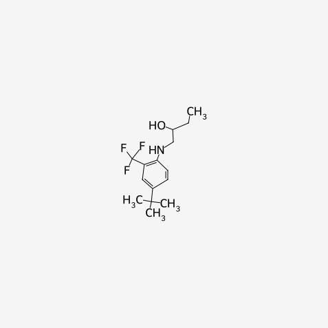 CCC(O)CNc1ccc(C(C)(C)C)cc1C(F)(F)F